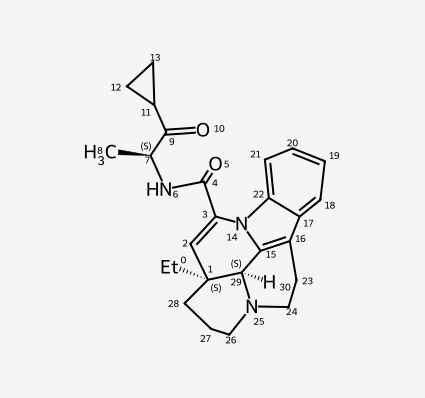 CC[C@@]12C=C(C(=O)N[C@@H](C)C(=O)C3CC3)n3c4c(c5ccccc53)CCN(CCC1)[C@H]42